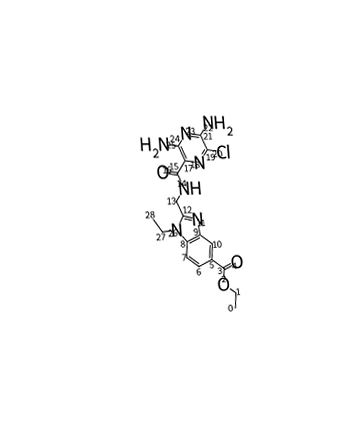 CCOC(=O)c1ccc2c(c1)nc(CNC(=O)c1nc(Cl)c(N)nc1N)n2CC